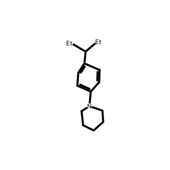 CCC(CC)c1ccc(N2CCCCC2)cc1